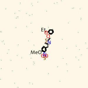 CCOc1ccccc1OCC1=N[C@@H](Cc2ccc(OC)c(N3OSO3)c2)CS1